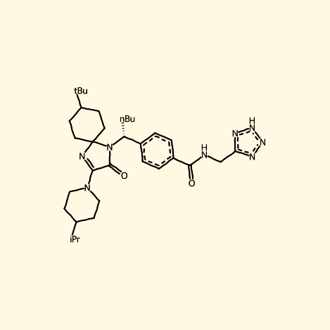 CCCC[C@H](c1ccc(C(=O)NCc2nn[nH]n2)cc1)N1C(=O)C(N2CCC(C(C)C)CC2)=NC12CCC(C(C)(C)C)CC2